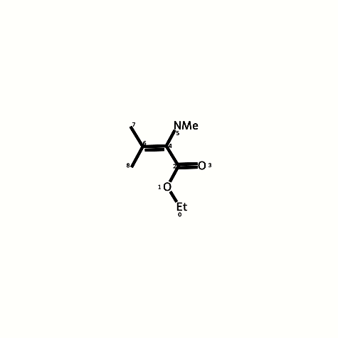 CCOC(=O)C(NC)=C(C)C